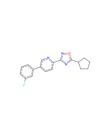 Fc1cccc(-c2ccc(-c3noc(C4CCCC4)n3)nc2)c1